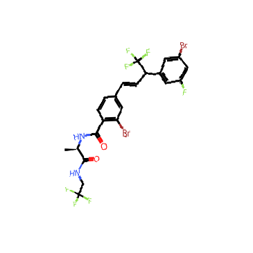 C[C@@H](NC(=O)c1ccc(/C=C/C(c2cc(F)cc(Br)c2)C(F)(F)F)cc1Br)C(=O)NCC(F)(F)F